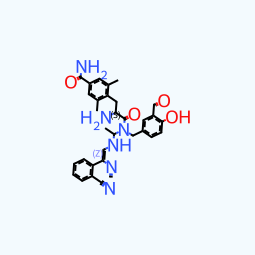 C=N/C(=C\NC(C)N(Cc1ccc(O)c(C=O)c1)C(=O)[C@@H](N)Cc1c(C)cc(C(N)=O)cc1C)c1ccccc1C#N